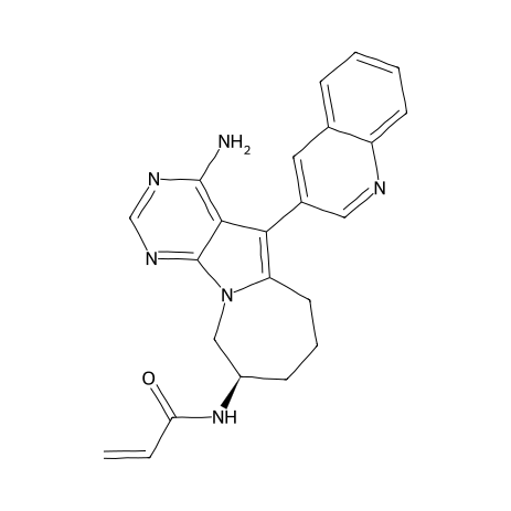 C=CC(=O)N[C@@H]1CCCc2c(-c3cnc4ccccc4c3)c3c(N)ncnc3n2C1